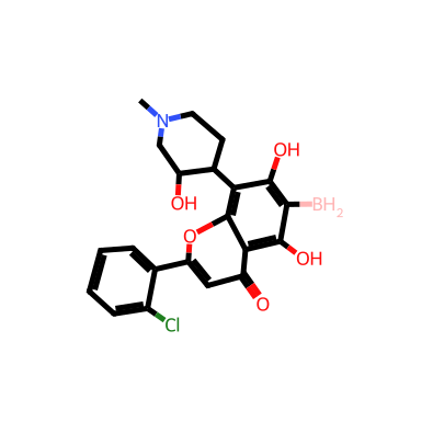 Bc1c(O)c(C2CCN(C)CC2O)c2oc(-c3ccccc3Cl)cc(=O)c2c1O